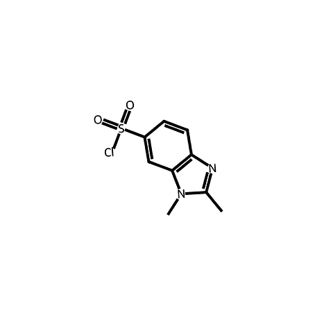 Cc1nc2ccc(S(=O)(=O)Cl)cc2n1C